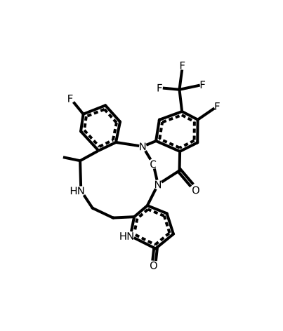 CC1NCCc2[nH]c(=O)ccc2N2CN(c3cc(C(F)(F)F)c(F)cc3C2=O)c2ccc(F)cc21